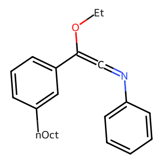 CCCCCCCCc1cccc(C(=C=Nc2ccccc2)OCC)c1